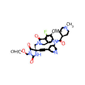 COc1ccc2c(c1F)C(=O)N(C[C@@]1(C#Cc3cncc(NC(=O)C4CCN(C)CC4)c3)NC(=O)N(COC=O)C1=O)C2